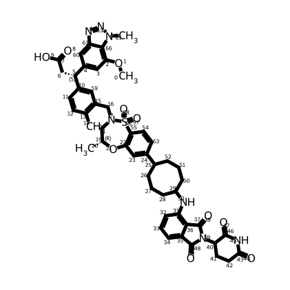 COc1cc([C@@H](CC(=O)O)c2ccc(C)c(CN3C[C@@H](C)Oc4cc(C5CCCC(Nc6cccc7c6C(=O)N(C6CCC(=O)NC6=O)C7=O)CCC5)ccc4S3(=O)=O)c2)cc2nnn(C)c12